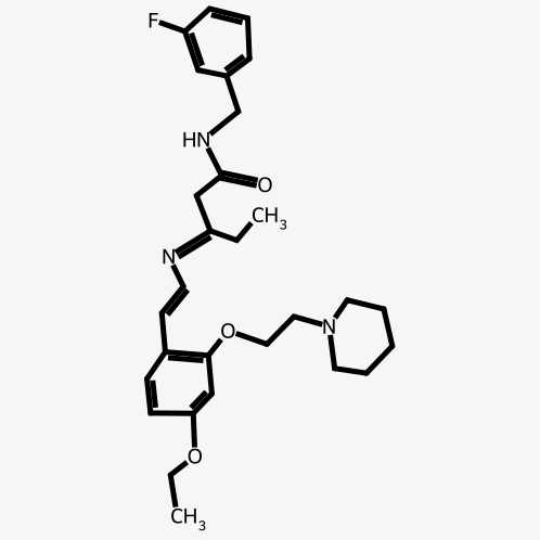 CCOc1ccc(/C=C/N=C(\CC)CC(=O)NCc2cccc(F)c2)c(OCCN2CCCCC2)c1